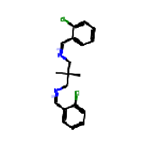 CC(C)(C/N=C\c1ccccc1Cl)C/N=C\c1ccccc1Cl